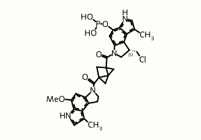 COc1cc2c(c3c(C)c[nH]c13)CCN2C(=O)C12CC3(C(=O)N4C[C@@H](CCl)c5c4cc(OP(O)O)c4[nH]cc(C)c54)CC13C2